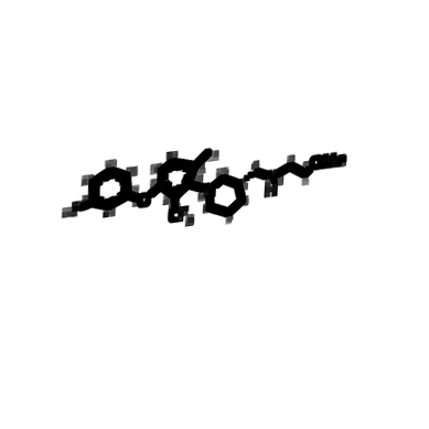 COCCNC[C@@H]1CCCN(c2c(C)ccc(Oc3cccc(F)c3)c2C(F)(F)F)C1